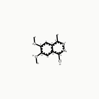 COc1cc2c(C)nnc(Cl)c2cc1OC